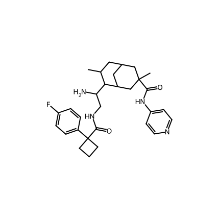 CC1CC2CC(CC(C)(C(=O)Nc3ccncc3)C2)C1C(N)CNC(=O)C1(c2ccc(F)cc2)CCC1